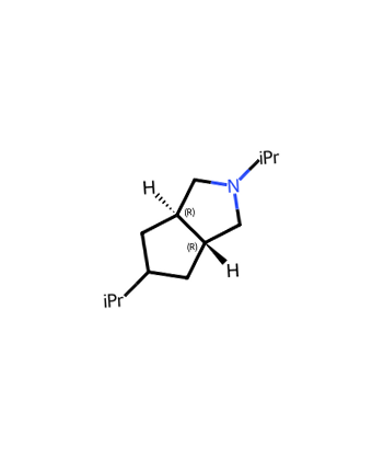 CC(C)C1C[C@H]2CN(C(C)C)C[C@@H]2C1